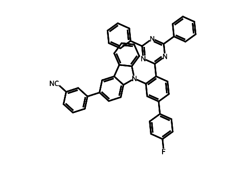 N#Cc1cccc(-c2ccc3c(c2)c2ccccc2n3-c2cc(-c3ccc(F)cc3)ccc2-c2nc(-c3ccccc3)nc(-c3ccccc3)n2)c1